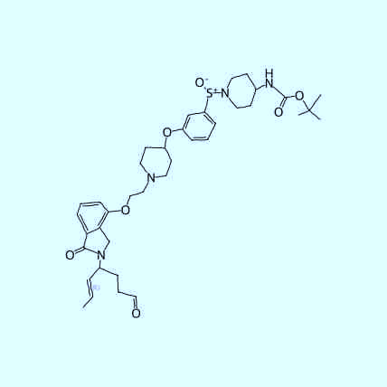 C/C=C/C(CCC=O)N1Cc2c(OCCN3CCC(Oc4cccc([S+]([O-])N5CCC(NC(=O)OC(C)(C)C)CC5)c4)CC3)cccc2C1=O